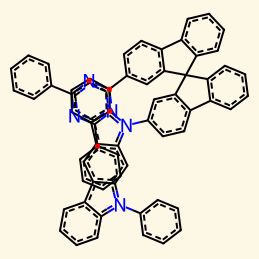 c1ccc(-c2nc(-c3ccccc3)nc(-c3ccc4c(c3)C3(c5ccccc5-4)c4ccccc4-c4ccc(-n5c6ccccc6c6cc7c8ccccc8n(-c8ccccc8)c7cc65)cc43)n2)cc1